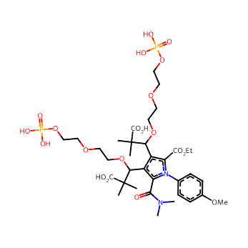 CCOC(=O)c1c(C(OCCOCCOP(=O)(O)O)C(C)(C)C(=O)O)c(C(OCCOCCOP(=O)(O)O)C(C)(C)C(=O)O)c(C(=O)N(C)C)n1-c1ccc(OC)cc1